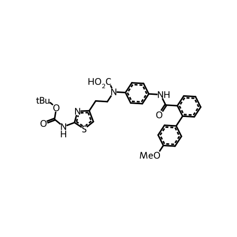 COc1ccc(-c2ccccc2C(=O)Nc2ccc(N(CCc3csc(NC(=O)OC(C)(C)C)n3)C(=O)O)cc2)cc1